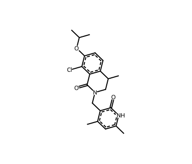 Cc1cc(C)c(CN2CC(C)c3ccc(OC(C)C)c(Cl)c3C2=O)c(=O)[nH]1